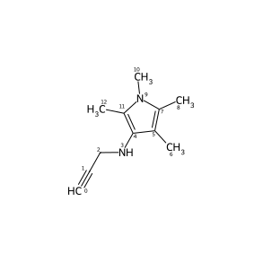 C#CCNc1c(C)c(C)n(C)c1C